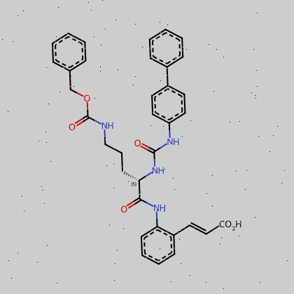 O=C(O)C=Cc1ccccc1NC(=O)[C@H](CCCNC(=O)OCc1ccccc1)NC(=O)Nc1ccc(-c2ccccc2)cc1